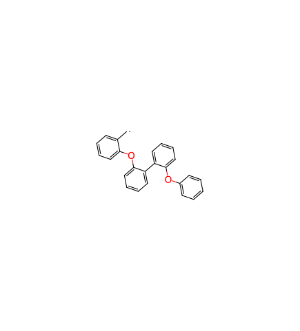 [CH2]c1ccccc1Oc1ccccc1-c1ccccc1Oc1ccccc1